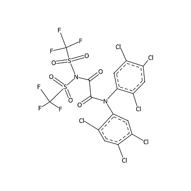 O=C(C(=O)N(S(=O)(=O)C(F)(F)F)S(=O)(=O)C(F)(F)F)N(c1cc(Cl)c(Cl)cc1Cl)c1cc(Cl)c(Cl)cc1Cl